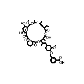 CCC1/C=C(\C)CC(C)CC(OC)C2OC(O)(C(=O)C(=O)N3CCCCC3C(=O)OC(C(C)=CC3CCC(OCc4cccc(C(=O)O)c4)C(OC)C3)C(C)C(O)CC1=O)C(C)CC2OC